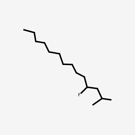 CCCCCCCCCC[C](F)CC(C)C